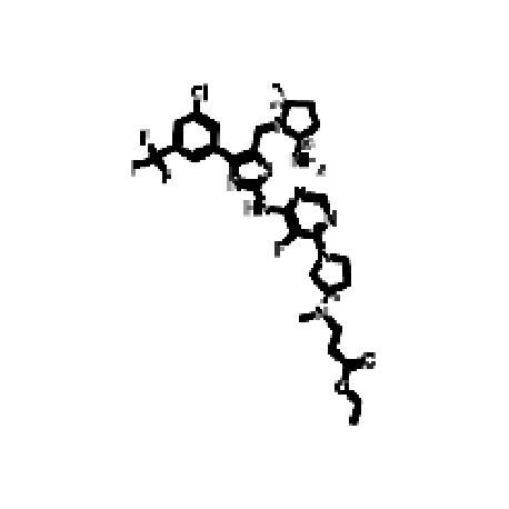 CCOC(=O)CCN(C)[C@H]1CCN(c2ncnc(Nc3nc(-c4cc(Cl)cc(C(F)(F)F)c4)c(CN4[C@H](C)CC[C@H]4N)s3)c2F)C1